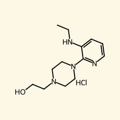 CCNc1cccnc1N1CCN(CCO)CC1.Cl